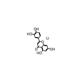 O=c1cc(-c2ccc(O)c(O)c2)oc2cc(O)cc(O)c12.[Li]